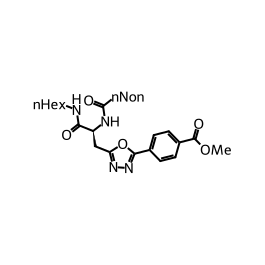 CCCCCCCCCC(=O)N[C@@H](Cc1nnc(-c2ccc(C(=O)OC)cc2)o1)C(=O)NCCCCCC